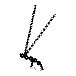 COCCOCCOCCOCCOCCOCCOCCOCCOCCOCCOCCOCCCC1(CCCOCCOCCOCCOCCOCCOCCOCCOCCOCCOCCOCCOC)c2cc(C)ccc2-c2ccc(-c3ccc4c(c3)C(C)(CCCCN)c3cc(-c5ccc(CCCC(C)=O)cc5)ccc3-4)cc21